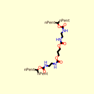 CCCCCC(CCCCC)OC(=O)NCCNC(=O)OCCCOC(=O)NCCNC(=O)OC(CCCCC)CCCCC